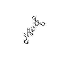 O=C(Nc1nc(-c2cccnc2)cs1)N1CCN(c2cc(N3CCCC3)nc(N3CCCC3)n2)CC1